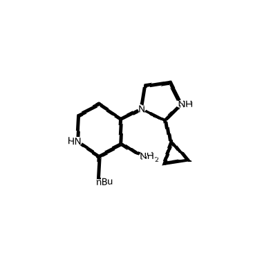 CCCCC1NCCC(N2CCNC2C2CC2)C1N